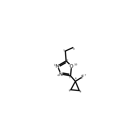 CCc1nnc(C2(F)CC2)o1